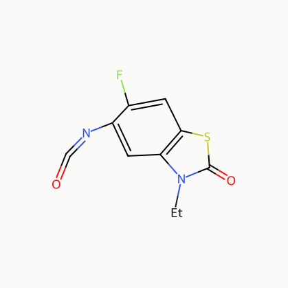 CCn1c(=O)sc2cc(F)c(N=C=O)cc21